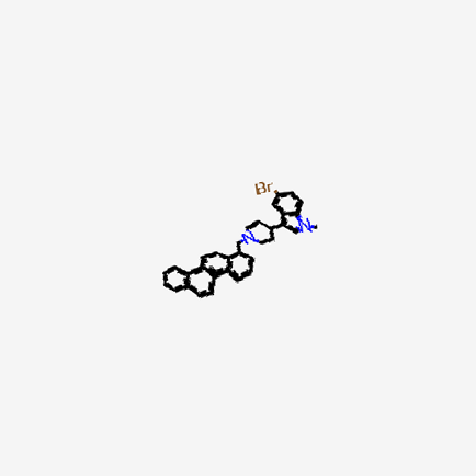 Cn1cc(C2C=CN(Cc3cccc4c3ccc3c5ccccc5ccc43)CC2)c2cc(Br)ccc21